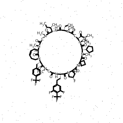 CC[C@H](C)[C@@H]1NC(=O)[C@H](CC)N(C)C(=O)C[C@@H](C(=O)N(C)C)N(C)C(=O)[C@H](C2CCCC2)N(C)C(=O)C2(CCC2)NC(=O)[C@@H]2C[C@H](F)CN2C(=O)[C@H](CCc2cc(F)c(C(F)(F)F)c(F)c2)NC(=O)CN(C)C(=O)[C@H](Cc2ccc(C(F)(F)F)cc2)N2CC/C=C\C[C@@H](C2=O)N(C)C(=O)CN(C)C1=O